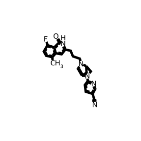 Cc1ccc(F)c2c(=O)[nH]c(CCCN3C=C4CC3CN4c3ccc(C#N)cn3)cc12